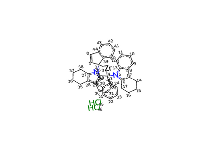 C1=C[C]([Zr][C]2(n3c4c(c5ccccc53)CCCC4)C=Cc3ccccc32)(n2c3c(c4ccccc42)CCCC3)c2ccccc21.Cl.Cl